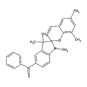 Cc1cc(C)c2c(c1)C=CC1(O2)N(C)c2ccc(C(=S)c3ccccc3)cc2C1(C)C